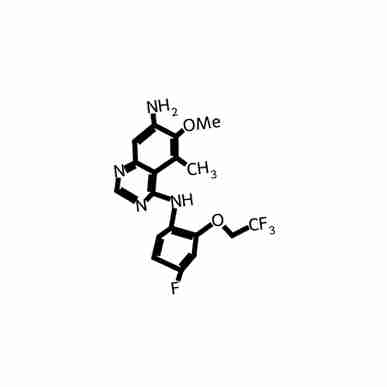 COc1c(N)cc2ncnc(Nc3ccc(F)cc3OCC(F)(F)F)c2c1C